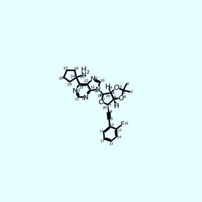 CC1(C)O[C@@H]2[C@H](O1)[C@@H](C#Cc1ccccc1F)O[C@H]2n1cnc2c(C3(N)CCCC3)ncnc21